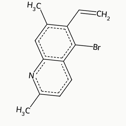 C=Cc1c(C)cc2nc(C)ccc2c1Br